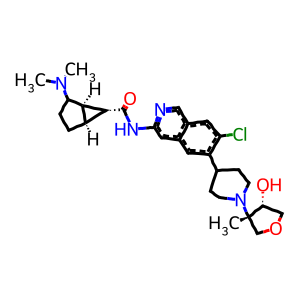 CN(C)C1CC[C@@H]2[C@@H](C(=O)Nc3cc4cc(C5CCN([C@@]6(C)COC[C@H]6O)CC5)c(Cl)cc4cn3)[C@H]12